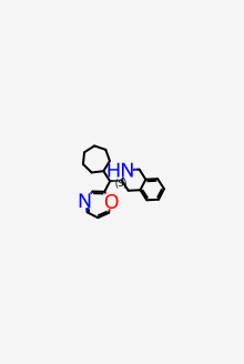 C1=COC(C(C2CCCCCC2)[C@@H]2Cc3ccccc3CN2)=CN=C1